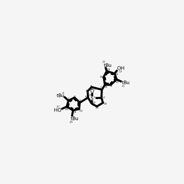 CC(C)(C)c1cc(C2CCC(c3cc(C(C)(C)C)c(O)c(C(C)(C)C)c3)C3CCC2[S+]3[O-])cc(C(C)(C)C)c1O